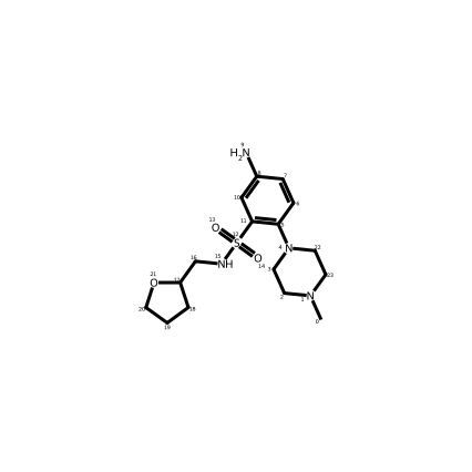 CN1CCN(c2ccc(N)cc2S(=O)(=O)NCC2CCCO2)CC1